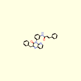 O=C(C=Cc1ccccc1)Nc1cccc(-n2c(=O)c(Cc3ccccc3)nc3cccnc32)c1